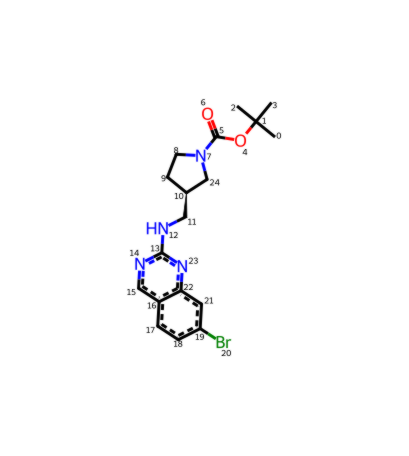 CC(C)(C)OC(=O)N1CC[C@H](CNc2ncc3ccc(Br)cc3n2)C1